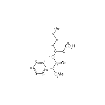 COC(C(=O)OC(CCCC(C)=O)CC(=O)O)c1ccccc1